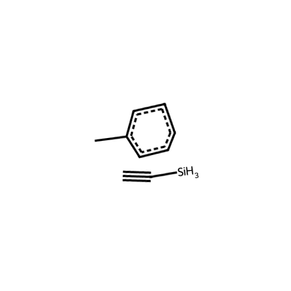 C#C[SiH3].Cc1ccccc1